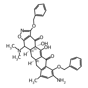 Cc1cc(N)c(OCc2ccccc2)c2c1C[C@H]1C[C@H]3C(N(C)C)c4onc(OCc5ccccc5)c4C(=O)[C@@]3(O)C(O)=C1C2=O